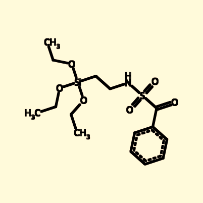 CCO[Si](CCNS(=O)(=O)C(=O)c1ccccc1)(OCC)OCC